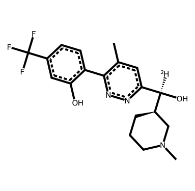 [2H][C@@](O)(c1cc(C)c(-c2ccc(C(F)(F)F)cc2O)nn1)[C@@H]1CCCN(C)C1